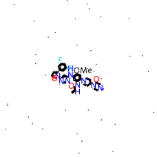 C=CC(=O)Nc1cc(Nc2cc(N3OCC[C@@H]3c3cc(F)cc(F)c3)ncn2)c(OC)cc1N1CCC(N2CCN(C)CC2=O)CC1